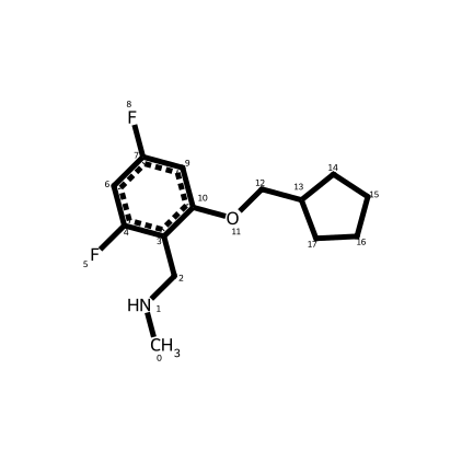 CNCc1c(F)cc(F)cc1OCC1CCCC1